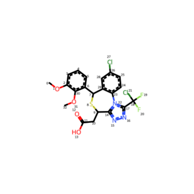 COc1cccc(C2SC(CC(=O)O)c3nnc(C(F)(F)Cl)n3-c3ccc(Cl)cc32)c1OC